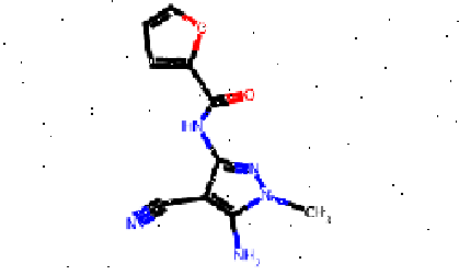 Cn1nc(NC(=O)c2ccco2)c(C#N)c1N